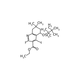 CCOC(=O)c1c(I)nc2c(c1I)C(O[Si](C)(C)C(C)(C)C)CC(C)(C)C2